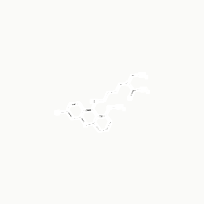 CCN(CCCCNc1c2ccc(Cl)cc2nc2cccc(OC)c12)C(C)=O